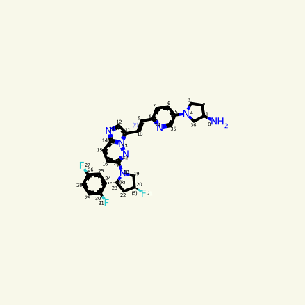 NC1CCN(c2ccc(/C=C/c3cnc4ccc(N5C[C@@H](F)C[C@@H]5c5cc(F)ccc5F)nn34)nc2)C1